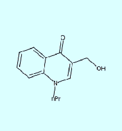 CCCn1cc(CO)c(=O)c2ccccc21